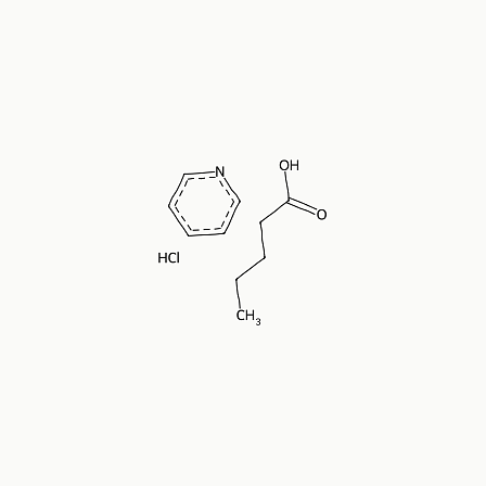 CCCCC(=O)O.Cl.c1ccncc1